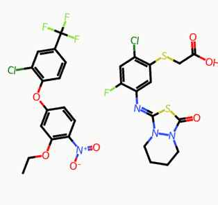 CCOc1cc(Oc2ccc(C(F)(F)F)cc2Cl)ccc1[N+](=O)[O-].O=C(O)CSc1cc(N=c2sc(=O)n3n2CCCC3)c(F)cc1Cl